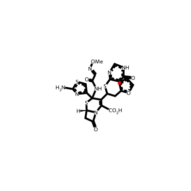 CON=CC(=O)NC1(c2csc(N)n2)S[C@H]2CC(=O)N2C(C(=O)O)=C1C(Cc1ccco1)Sc1cc(=O)[nH]cn1